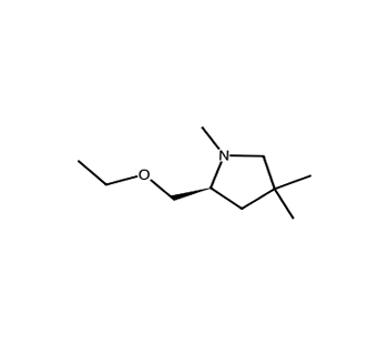 CCOC[C@@H]1CC(C)(C)CN1C